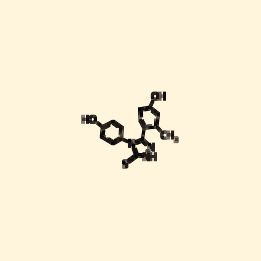 Cc1cc(O)ccc1-c1n[nH]c(=S)n1-c1ccc(O)cc1